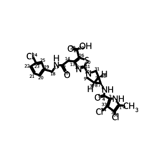 Cc1[nH]c(C(=O)N[C@H]2[C@@H]3CN(c4nc(CC(=O)NCc5cccc(Cl)c5)c(C(=O)O)s4)C[C@@H]32)c(Cl)c1Cl